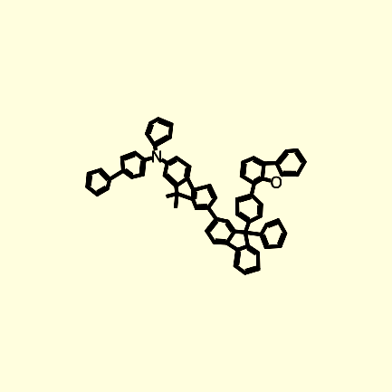 CC1(C)c2cc(-c3ccc4c(c3)C(c3ccccc3)(c3ccc(-c5cccc6c5oc5ccccc56)cc3)c3ccccc3-4)ccc2-c2ccc(N(c3ccccc3)c3ccc(-c4ccccc4)cc3)cc21